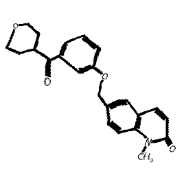 Cn1c(=O)ccc2cc(COc3cccc(C(=O)C4CCOCC4)c3)ccc21